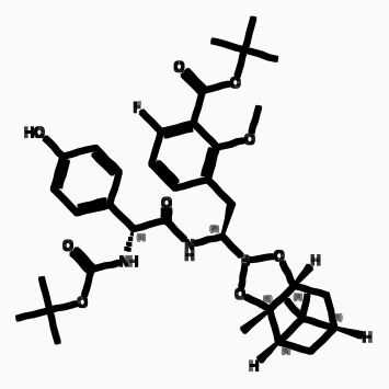 COc1c(C[C@H](NC(=O)[C@H](NC(=O)OC(C)(C)C)c2ccc(O)cc2)B2O[C@@H]3C[C@@H]4C[C@@H](C4(C)C)[C@]3(C)O2)ccc(F)c1C(=O)OC(C)(C)C